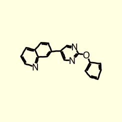 c1ccc(Oc2ncc(-c3ccc4cccnc4c3)cn2)cc1